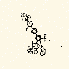 CC(C)(C)OC(=O)N1CC[C@@H](c2ccc(-c3cc4c(c(C(F)F)c3)CN([C@@H](C(=O)Nc3nccs3)c3ncn5c3CCC5)C4=O)cc2)[C@H](F)C1